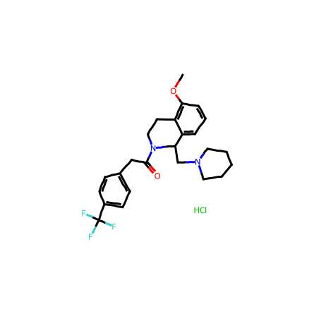 COc1cccc2c1CCN(C(=O)Cc1ccc(C(F)(F)F)cc1)C2CN1CCCCC1.Cl